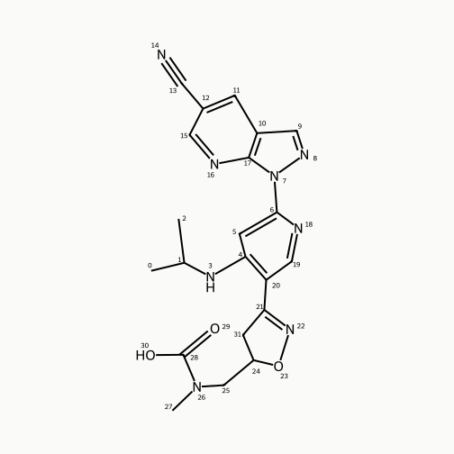 CC(C)Nc1cc(-n2ncc3cc(C#N)cnc32)ncc1C1=NOC(CN(C)C(=O)O)C1